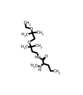 CCCC(NC)C(=O)NCCC(C)(C)OCC(C)(C)OCC